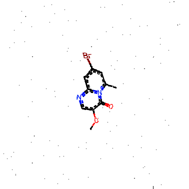 COc1cnc2cc(Br)cc(C)n2c1=O